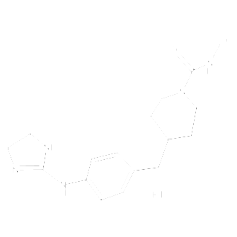 CCNC(=O)N1CCC(Cc2ccc(NC3=NCCN3)cc2)CC1.Cl